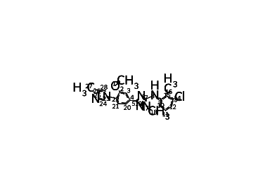 COc1cc(-c2nc(Nc3cccc(Cl)c3C)n(C)n2)ccc1-n1cnc(C)c1